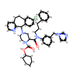 O=C(C1CN(C2c3ccc(Cl)cc3CCc3cccnc32)CCN1C(=O)OC1CCCCC1)N(CCCc1ccccc1)c1cccc(Cn2ccnc2)c1